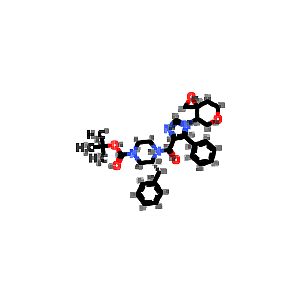 CC(C)(C)OC(=O)N1CCN(C(=O)c2ncn(C3COCCC34CO4)c2-c2ccccc2)[C@H](Cc2ccccc2)C1